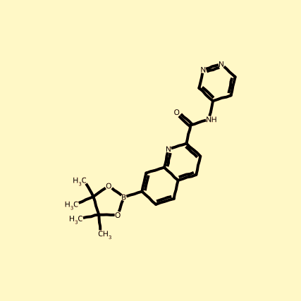 CC1(C)OB(c2ccc3ccc(C(=O)Nc4ccnnc4)nc3c2)OC1(C)C